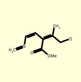 C=N/C=C\C(C(=O)OC)=C(/C)CCl